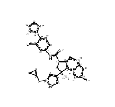 C[C@@]1(c2cnn(CC3CC3)c2)C[C@@H](C(=O)Nc2cnc(-n3nccn3)c(Cl)c2)c2cnc3cc(F)nn3c21